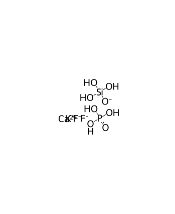 O=P(O)(O)O.[Ca+2].[F-].[F-].[K+].[O-][Si](O)(O)O